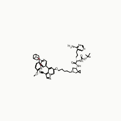 COc1ccc(CN2C3CC2CN(c2ccc(-c4cc(OCCCCCN5C[C@H](NC(=O)[C@H](CCCc6cncnc6N)NC(=O)OC(C)(C)C)C6(CC6)C5)cn5ncc(C#N)c45)cn2)C3)cn1